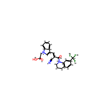 N#CC(=Cc1cn(CC(=O)O)c2ccccc12)C(=O)N1CCCc2ccc(C(F)(F)F)cc21